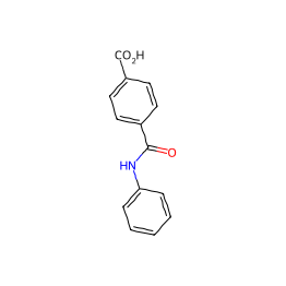 O=C(O)c1ccc(C(=O)Nc2ccccc2)cc1